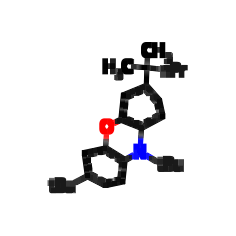 CCCC(C)(C)c1ccc2c(c1)Oc1cc(C(C)(C)C)ccc1N2C(C)(C)C